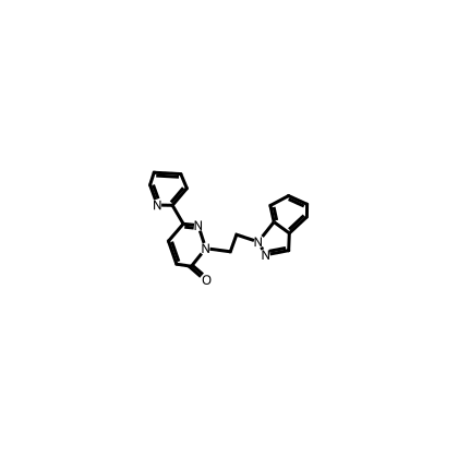 O=c1ccc(-c2ccccn2)nn1CCn1ncc2ccccc21